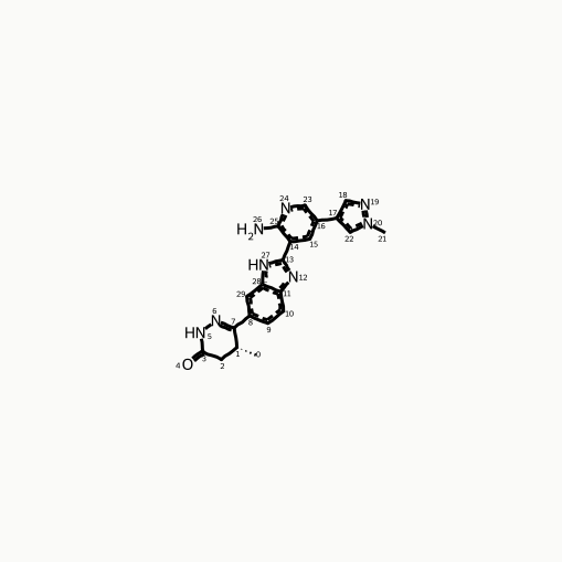 C[C@@H]1CC(=O)NN=C1c1ccc2nc(-c3cc(-c4cnn(C)c4)cnc3N)[nH]c2c1